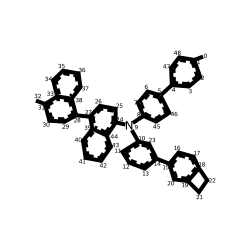 Cc1ccc(-c2ccc(N(c3cccc(-c4ccc5c(c4)CC5)c3)c3ccc(-c4ccc(C)c5ccccc45)c4ccccc34)cc2)cc1